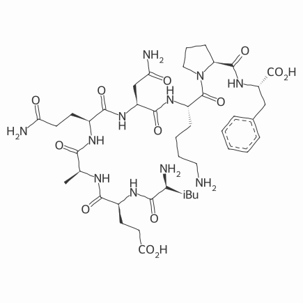 CC[C@H](C)[C@H](N)C(=O)N[C@@H](CCC(=O)O)C(=O)N[C@@H](C)C(=O)N[C@@H](CCC(N)=O)C(=O)N[C@@H](CC(N)=O)C(=O)N[C@@H](CCCCN)C(=O)N1CCC[C@H]1C(=O)N[C@@H](Cc1ccccc1)C(=O)O